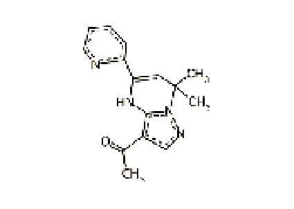 CC(=O)c1cnn2c1NC(c1ccccn1)=CC2(C)C